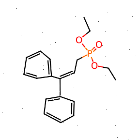 CCOP(=O)(CC=C(c1ccccc1)c1ccccc1)OCC